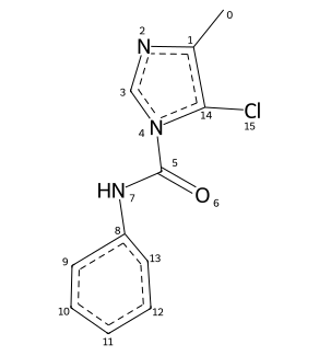 Cc1ncn(C(=O)Nc2ccccc2)c1Cl